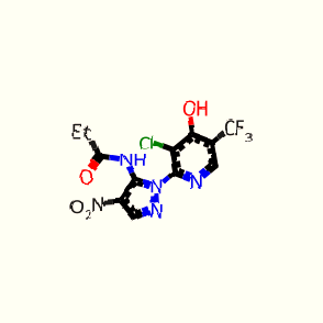 CCC(=O)Nc1c([N+](=O)[O-])cnn1-c1ncc(C(F)(F)F)c(O)c1Cl